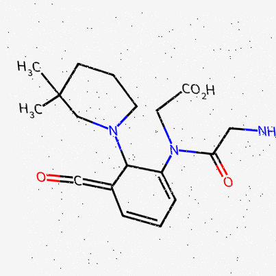 CC1(C)CCCN(C2C(=C=O)C=CC=C2N(CC(=O)O)C(=O)CN)C1